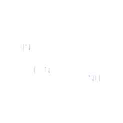 NC1=CCC(N)(c2cccc3c2CCN3)C=C1